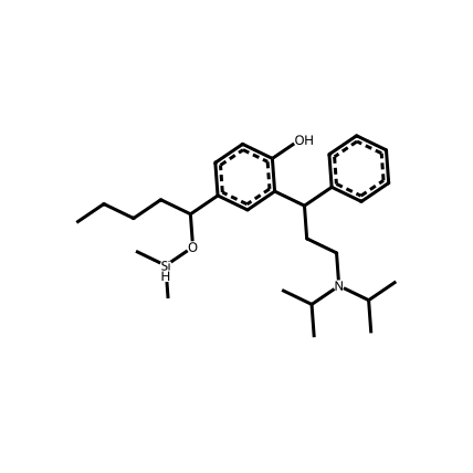 CCCCC(O[SiH](C)C)c1ccc(O)c(C(CCN(C(C)C)C(C)C)c2ccccc2)c1